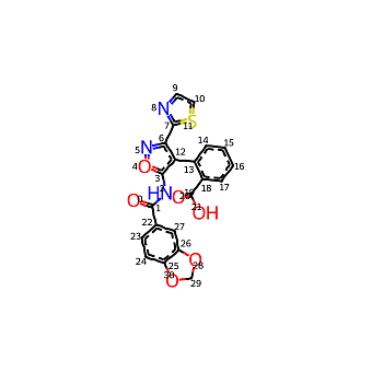 O=C(Nc1onc(-c2nccs2)c1-c1ccccc1C(=O)O)c1ccc2c(c1)OCO2